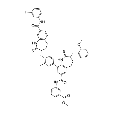 COC(=O)c1cccc(NC(=O)c2cc3c(c(-c4ccc(CC5CCc6ccc(C(=O)Nc7cccc(F)c7)cc6NC5=S)c(C)c4)c2)NC(=S)C(Cc2ccccc2OC)CC3)c1